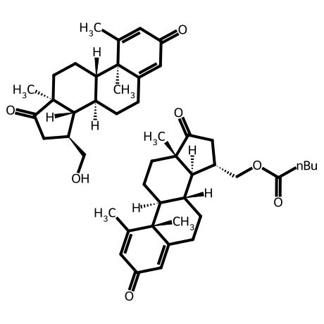 CC1=CC(=O)C=C2CC[C@H]3[C@@H]4[C@@H](CO)CC(=O)[C@@]4(C)CC[C@@H]3[C@@]12C.CCCCC(=O)OC[C@H]1CC(=O)[C@@]2(C)CC[C@H]3[C@@H](CCC4=CC(=O)C=C(C)[C@@]43C)[C@H]12